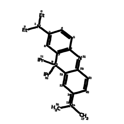 CCN(CC)c1ccc2c(c1)[Si](C(C)C)(C(C)C)C1=CC(=[N+](C)C)C=CC1=N2